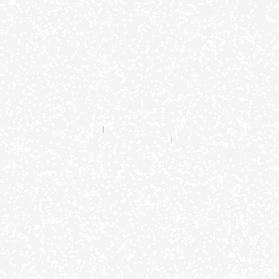 CCOC(C)O